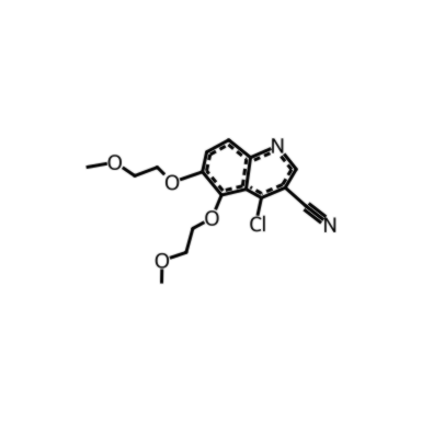 COCCOc1ccc2ncc(C#N)c(Cl)c2c1OCCOC